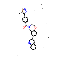 O=C(c1ccc(-c2csnn2)cc1)N1CCOc2ccc(-c3cnc4ccccc4c3)cc2C1